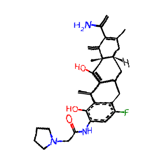 C=C(N)C1=C(C)C[C@@H]2CC3Cc4c(F)cc(NC(=O)CN5CCCC5)c(O)c4C(=C)C3=C(O)[C@]2(C)C1=C